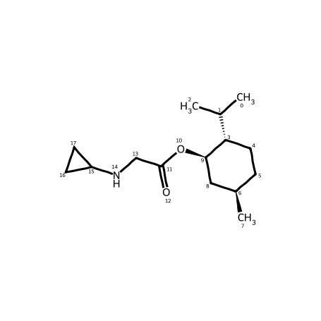 CC(C)[C@@H]1CC[C@@H](C)C[C@H]1OC(=O)CNC1CC1